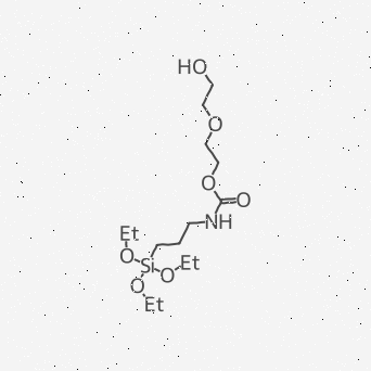 CCO[Si](CCCNC(=O)OCCOCCO)(OCC)OCC